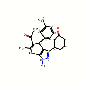 COC(=O)C1=C(C)Nc2c(c(C3CCCC(=O)C3)nn2C)C1c1cccc([N+](=O)[O-])c1